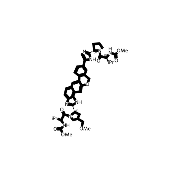 COCC1C[C@@H](c2nc3ccc4cc5c(cc4c3[nH]2)OCc2cc(-c3cnc([C@@H]4CCCN4C(=O)[C@@H](NC(=O)OC)C(C)C)[nH]3)ccc2-5)N(C(=O)C(NC(=O)OC)C(C)C)C1